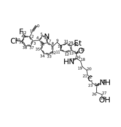 C#Cc1c(-c2cnc3c(Cc4ccc(C(=O)C(=N)CCCCCCC(=N)CCO)c(CC)c4)ccccc2-3)ccc(Cl)c1F